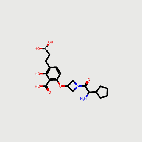 NC(C(=O)N1CC(Oc2ccc(CCB(O)O)c(O)c2C(=O)O)C1)C1CCCC1